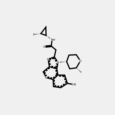 C[C@@H]1C[C@H](n2c(CC(=O)N[C@H]3C[C@H]3F)nc3cnc4ccc(C#N)cc4c32)CCO1